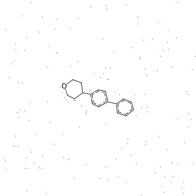 [C]1COCCC1c1ccc(-c2ccccc2)cc1